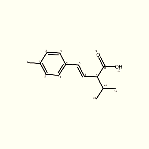 Cc1ccc(/C=C/C(C(=O)O)C(C)C)cc1